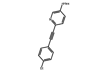 CCCCCCc1ccc(C#Cc2ccc(CC)cc2)nc1